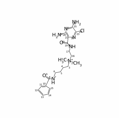 C[N+](C)(CCCCNC(=O)c1ccccc1)CCNC(=O)c1nc(Cl)c(N)nc1N